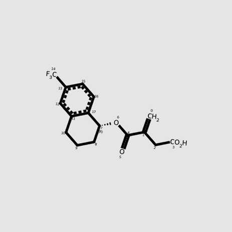 C=C(CC(=O)O)C(=O)O[C@@H]1CCCc2cc(C(F)(F)F)ccc21